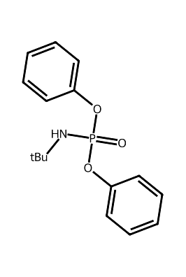 CC(C)(C)NP(=O)(Oc1ccccc1)Oc1ccccc1